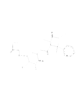 COC(=O)CNCC(C(C)C)N(C)C(=O)C(NC(=O)C(N(C)C(=O)OC(C)(C)C)C(C)(C)c1ccccc1)C(C)(C)C